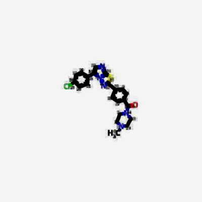 CN1CCN(C(=O)c2ccc(-c3nn4c(-c5ccc(Cl)cc5)cnc4s3)cc2)CC1